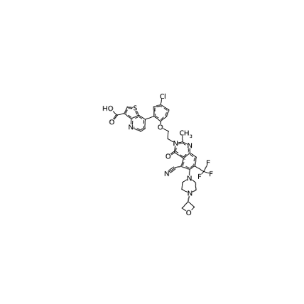 Cc1nc2cc(C(F)(F)F)c(N3CCN(C4COC4)CC3)c(C#N)c2c(=O)n1CCOc1ccc(Cl)cc1-c1ccnc2c(C(=O)O)csc12